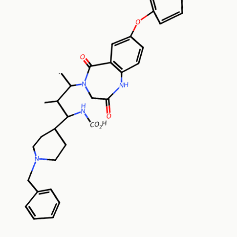 [CH2]C(C(C)C(NC(=O)O)C1CCN(Cc2ccccc2)CC1)N1CC(=O)Nc2ccc(Oc3ccc(F)cc3)cc2C1=O